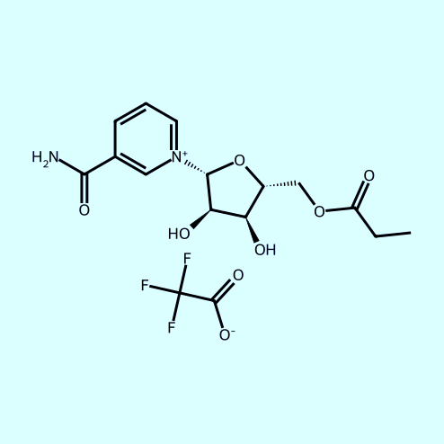 CCC(=O)OC[C@H]1O[C@@H]([n+]2cccc(C(N)=O)c2)[C@H](O)[C@@H]1O.O=C([O-])C(F)(F)F